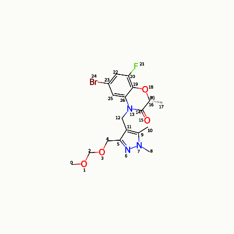 COCOCc1nn(C)c(C)c1CN1C(=O)[C@@H](C)Oc2c(F)cc(Br)cc21